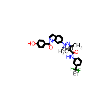 CCC(F)(F)c1cccc(NC(=O)C(C)/C(C)=N\N(C=O)c2ccc3ccn(C(=O)c4ccc(O)cc4)c3c2)c1